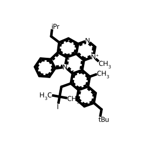 Cc1c2cc(CC(C)(C)C)ccc2c(CC(C)(C)I)c2c1c1c3c(cc(CC(C)C)c4c5ccccc5n2c43)nc[n+]1C